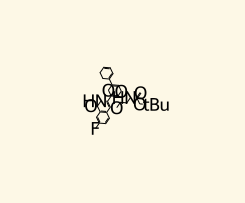 CC(C)(C)OC(=O)NCCOc1c(C2=COC=C(C3=CC=CCC3)O2)[nH]c(=O)c2cc(F)ccc12